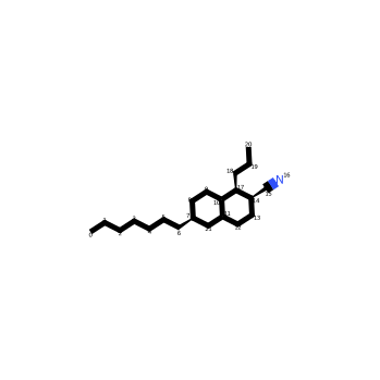 CCCCCCC[C@H]1CCC2C(CC[C@H](C#N)[C@@H]2CCC)C1